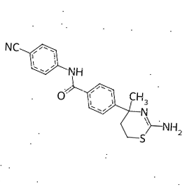 CC1(c2ccc(C(=O)Nc3ccc(C#N)cc3)cc2)CCSC(N)=N1